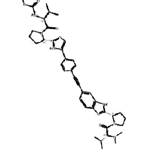 COC(=O)N[C@H](C(=O)N1CCC[C@H]1c1ncc(-c2ccc(C#Cc3ccc4nc([C@@H]5CCCN5C(=O)[C@@H](C(C)C)N(C)C)[nH]c4c3)cc2)[nH]1)C(C)C